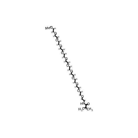 C=C(C)C(=O)NCCOCCOCCOCCOCCOCCOCCOCCOCCOCCOCCOCCOC